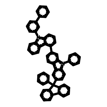 c1ccc(-c2cccc(-n3c4ccccc4c4c(-c5ccc6c7cc(C8(c9ccccc9)c9ccccc9-c9ccccc98)ccc7n(-c7ccccc7)c6c5)cccc43)c2)cc1